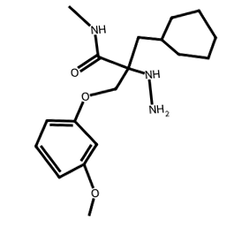 CNC(=O)C(COc1cccc(OC)c1)(CC1CCCCC1)NN